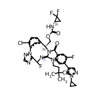 CC(C)(C)CCN/C1=N\C(F)c2ncnn2-c2cc(ccc2Cl)[C@@H](COC(=O)N[C@H]2CC2(F)F)N1C(=O)c1ccc(-c2cnn(C3CC3)c2)c(F)c1